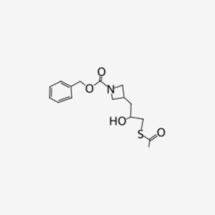 CC(=O)SCC(O)CC1CN(C(=O)OCc2ccccc2)C1